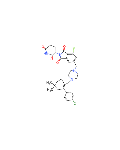 CC1(C)CCC(CN2CCN(Cc3cc(F)c4c(c3)C(=O)N(C3CCC(=O)NC3=O)C4=O)CC2)=C(c2ccc(Cl)cc2)C1